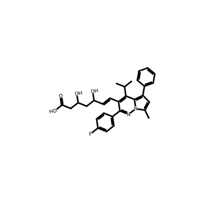 Cc1cc(-c2ccccc2)c2c(C(C)C)c(/C=C/C(O)CC(O)CC(=O)O)c(-c3ccc(F)cc3)nn12